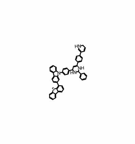 C1=CC(c2ccc(C3=CC(c4ccc(-n5c6ccccc6c6ccc(-c7cccc8c7sc7ccccc78)cc65)cc4)NC(c4ccccc4)N3)cc2)=CNC1